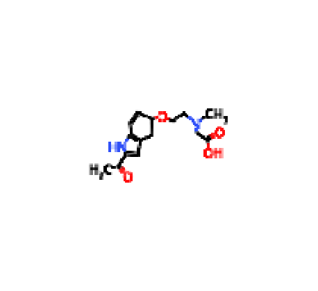 CC(=O)c1cc2cc(OCCN(C)CC(=O)O)ccc2[nH]1